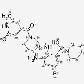 Cc1cc(C(=O)N2CCC[C@@H](Nc3c(N)cc(Br)cc3C(O)N3CCCCC3)C2)cc(=O)[nH]1